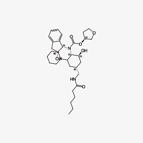 CCCCCC(=O)NC[C@@H]1CC(C2CCCCC2)[C@H](N(C(=O)O[C@H]2CCOC2)[C@H]2c3ccccc3C[C@H]2O)[C@@H](O)C1